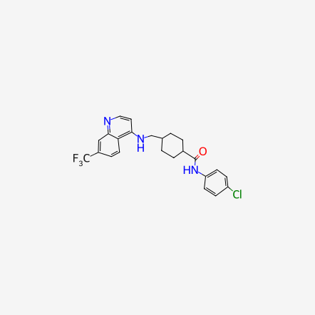 O=C(Nc1ccc(Cl)cc1)C1CCC(CNc2ccnc3cc(C(F)(F)F)ccc23)CC1